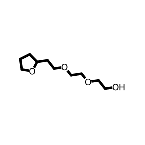 OCCOCCOCCC1CCCO1